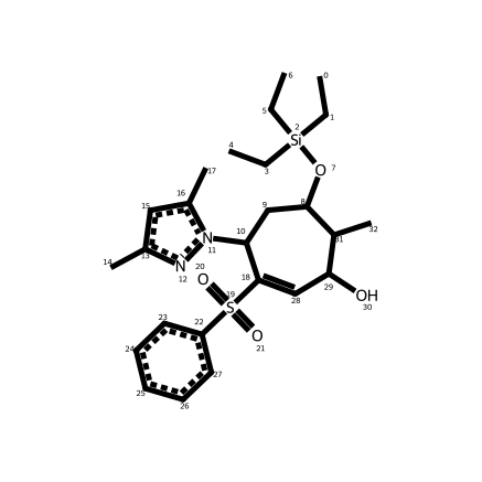 CC[Si](CC)(CC)OC1CC(n2nc(C)cc2C)C(S(=O)(=O)c2ccccc2)=CC(O)C1C